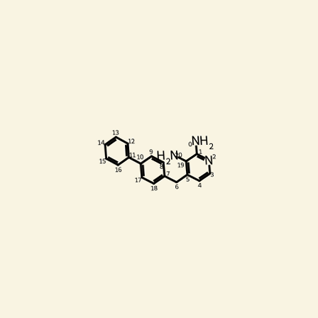 Nc1nccc(Cc2ccc(-c3ccccc3)cc2)c1N